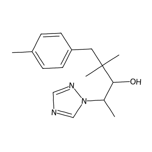 Cc1ccc(CC(C)(C)C(O)C(C)n2cncn2)cc1